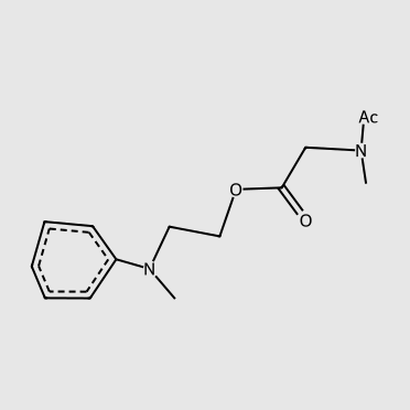 CC(=O)N(C)CC(=O)OCCN(C)c1ccccc1